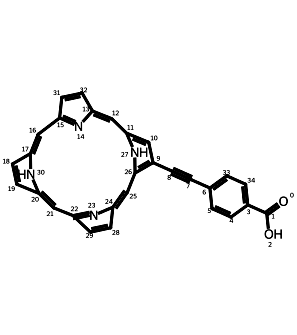 O=C(O)c1ccc(C#Cc2cc3cc4nc(cc5ccc(cc6nc(cc2[nH]3)C=C6)[nH]5)C=C4)cc1